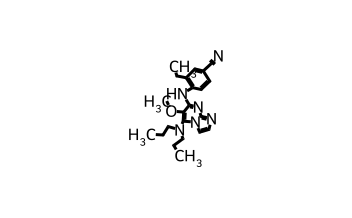 CCCN(CCC)c1c(OC)c(Nc2ccc(C#N)cc2CC)nc2nccn12